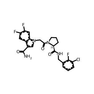 NC(=O)c1cn(CC(=O)N2CCC[C@H]2C(=O)NCc2cccc(Cl)c2F)c2cc(F)c(F)cc12